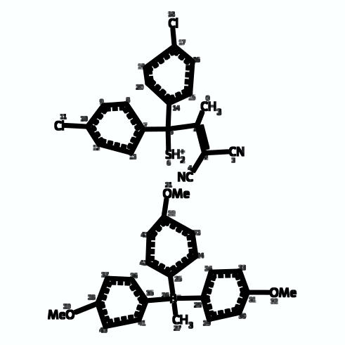 CC(=C(C#N)C#N)C([SH2+])(c1ccc(Cl)cc1)c1ccc(Cl)cc1.COc1ccc([B-](C)(c2ccc(OC)cc2)c2ccc(OC)cc2)cc1